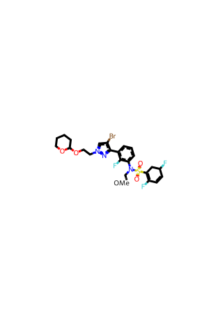 COCN(c1cccc(-c2nn(CCOC3CCCCO3)cc2Br)c1F)S(=O)(=O)C1=C(F)C=CC(F)C1